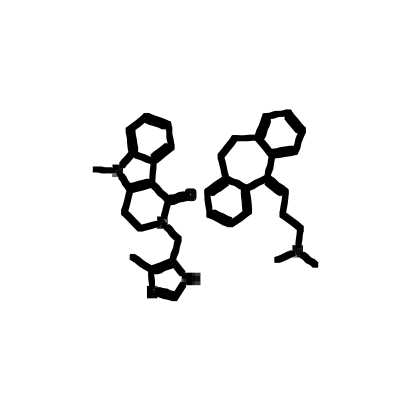 CN(C)CCC=C1c2ccccc2CCc2ccccc21.Cc1nc[nH]c1CN1CCc2c(c3ccccc3n2C)C1=O